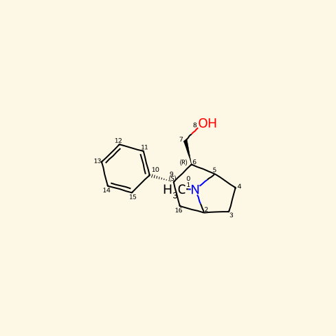 CN1C2CCC1[C@H](CO)[C@@H](c1ccccc1)C2